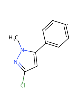 Cn1nc(Cl)cc1-c1cc[c]cc1